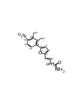 Cc1c(-c2ccc(/C=N/NC(N)=O)o2)ccc([N+](=O)[O-])c1C